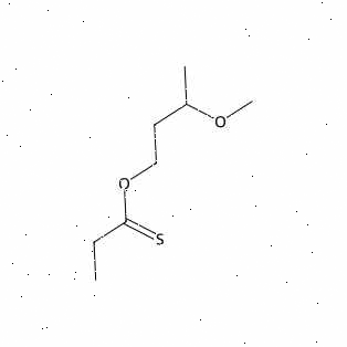 CCC(=S)OCCC(C)OC